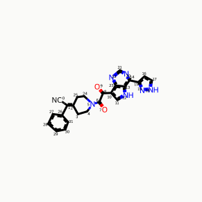 N#CC(=C1CCN(C(=O)C(=O)c2c[nH]c3c(-c4cc[nH]n4)ncnc23)CC1)c1ccccc1